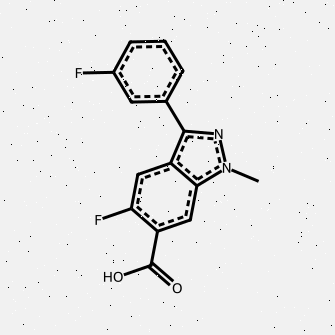 Cn1nc(-c2cccc(F)c2)c2cc(F)c(C(=O)O)cc21